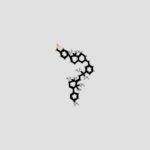 CCC1(C)CC=C(c2ccc(C)cc2)C(C)(C(C)C)/C1=C/CC(C)(C)c1cccc(CC2CC=C3C(CC=C(c4ccc(CP)cc4)C3(C)C)C2)c1